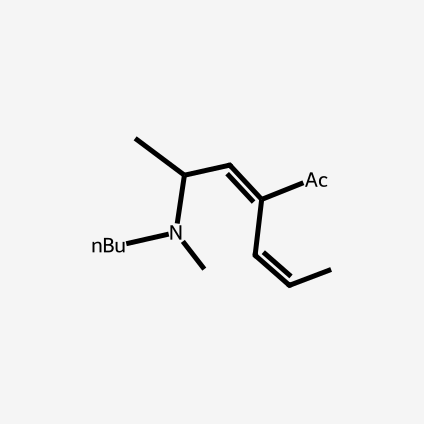 C/C=C\C(=C/C(C)N(C)CCCC)C(C)=O